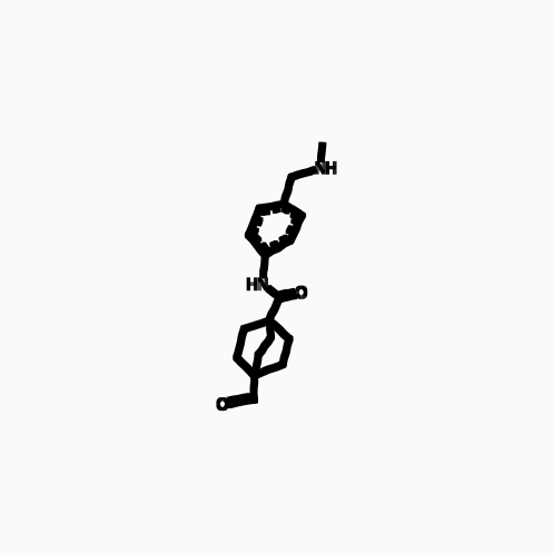 CNCc1ccc(NC(=O)C23CCC(C=O)(CC2)CC3)cc1